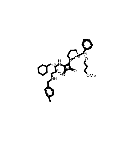 COCCCO[C@@H](c1ccccc1)[C@@H]1CCCN(c2c(N[C@@H](CC3CCCCC3)[C@H](O)CNCc3ccc(C)cc3)c(=O)c2=O)C1